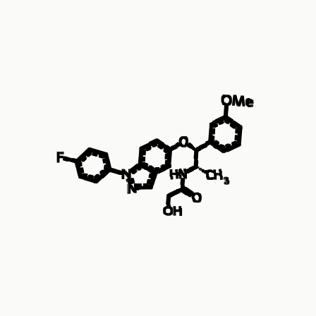 COc1cccc([C@H](Oc2ccc3c(cnn3-c3ccc(F)cc3)c2)[C@H](C)NC(=O)CO)c1